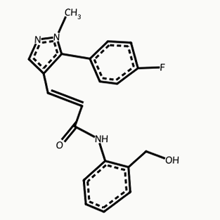 Cn1ncc(/C=C/C(=O)Nc2ccccc2CO)c1-c1ccc(F)cc1